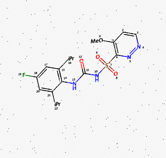 COc1ccnnc1S(=O)(=O)NC(=O)Nc1c(C(C)C)cc(F)cc1C(C)C